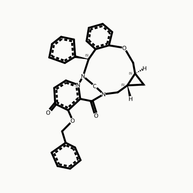 O=C1c2c(OCc3ccccc3)c(=O)ccn2N2CN1C[C@H]1C[C@@H]1COc1ccccc1[C@@H]2c1ccccc1